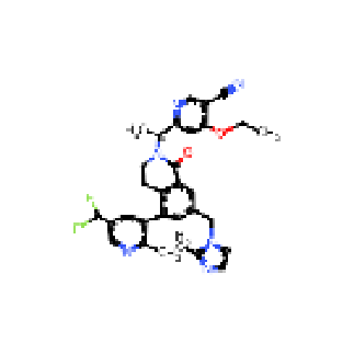 CCOc1cc([C@H](C)N2CCc3c(cc(Cn4ccnc4C)cc3-c3cc(C(F)F)cnc3C)C2=O)ncc1C#N